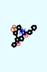 O=S1(=O)c2ccc(-c3ccc4oc5ccccc5c4c3)cc2-c2c(-c3nc(-c4ccccc4)c4oc5ccc(-c6ccccc6)cc5c4n3)cccc21